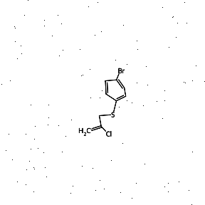 C=C(Cl)CSc1ccc(Br)cc1